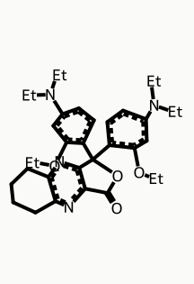 CCOc1cc(N(CC)CC)ccc1C1(c2ccc(N(CC)CC)cc2OCC)OC(=O)c2nc3c(nc21)CCCC3